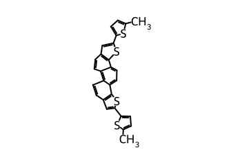 Cc1ccc(-c2cc3ccc4c5ccc6cc(-c7ccc(C)s7)sc6c5ccc4c3s2)s1